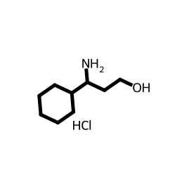 Cl.NC(CCO)C1CCCCC1